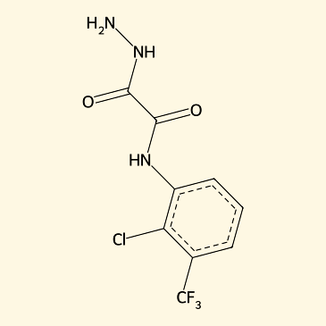 NNC(=O)C(=O)Nc1cccc(C(F)(F)F)c1Cl